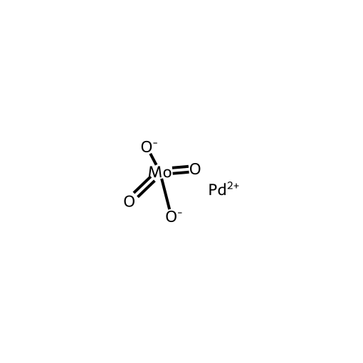 [O]=[Mo](=[O])([O-])[O-].[Pd+2]